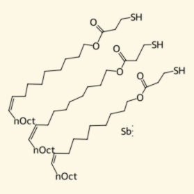 CCCCCCCC/C=C\CCCCCCCCOC(=O)CCS.CCCCCCCC/C=C\CCCCCCCCOC(=O)CCS.CCCCCCCC/C=C\CCCCCCCCOC(=O)CCS.[Sb]